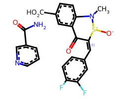 CN1c2ccc(C(=O)O)cc2C(=O)/C(=C\c2ccc(F)c(F)c2)[S+]1[O-].NC(=O)c1cccnc1